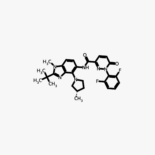 C[C@H]1CCN(c2c(NC(=O)c3ccc(=O)n(-c4c(F)cccc4F)n3)ccc3c2nc(C(C)(C)C)n3C)C1